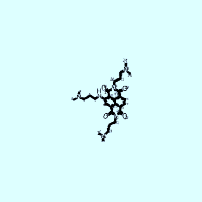 CN(C)CCCNc1cc2c3c(ccc4c3c1C(=O)N(CCCN(C)C)C4=O)C(=O)N(CCCN(C)C)C2=O